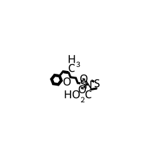 CC(=Cc1ccccc1)C(=O)CCS(=O)(=O)N1CSCC1C(=O)O